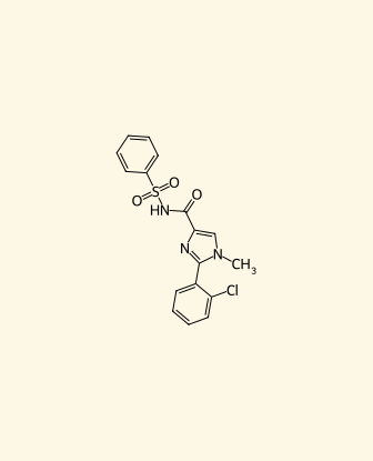 Cn1cc(C(=O)NS(=O)(=O)c2ccccc2)nc1-c1ccccc1Cl